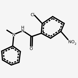 CN(NC(=O)c1cc([N+](=O)[O-])ccc1Cl)c1ccccc1